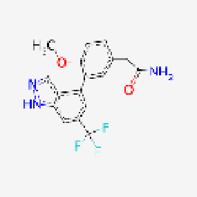 COc1ccc(CC(N)=O)cc1-c1cc(C(F)(F)F)cc2[nH]ncc12